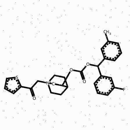 Cc1cccc(C(OC(=O)OC2C[N+]3(CC(=O)c4cccs4)CCC2CC3)c2cccc(F)c2)c1